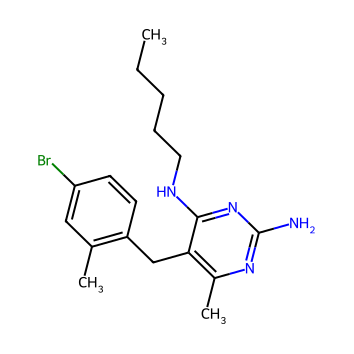 CCCCCNc1nc(N)nc(C)c1Cc1ccc(Br)cc1C